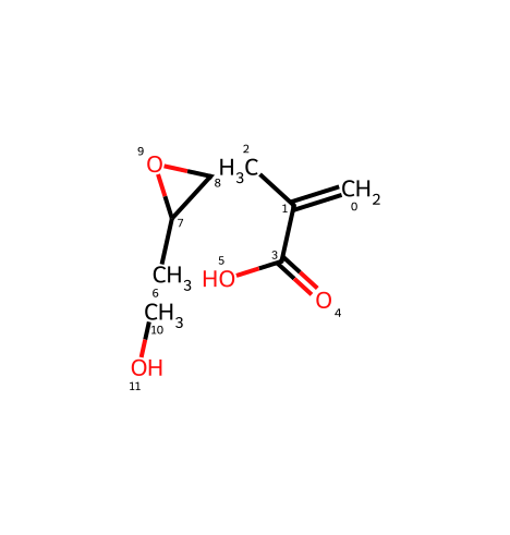 C=C(C)C(=O)O.CC1CO1.CO